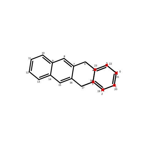 c1ccc2c(c1)C1c3cc4ccccc4cc3C2c2ncncc21